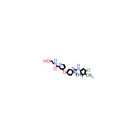 Cc1ccc(Nc2nc3cc(Oc4ccnc(C(=O)NCCO)c4)ccc3n2C)cc1Cl